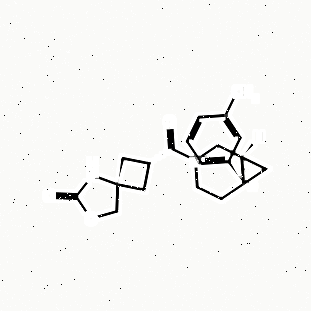 Cc1cccc([C@@]23CCN(C(=O)[C@H]4C[C@]5(COC(=O)N5)C4)C[C@@H]2C3)c1